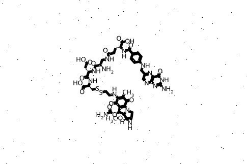 CO[C@@]12C(OC(N)=O)C3=C(C(=O)C(C)=C(NCCSSC[C@H](NC(=O)[C@H](CC(=O)O)NC(=O)[C@@H](N)CNC(=O)CC[C@@H](NC(=O)c4ccc(NCc5cnc6nc(N)[nH]c(=O)c6n5)cc4)C(=O)O)C(=O)O)C3=O)N1CC1N[C@@H]12